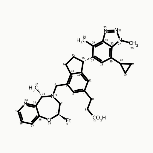 CC[C@@H]1CN(Cc2cc(CCC(=O)O)cc3c2CC[C@@H]3c2cc(C3CC3)c3c(nnn3C)c2C)[C@@H](C)c2ncccc2O1